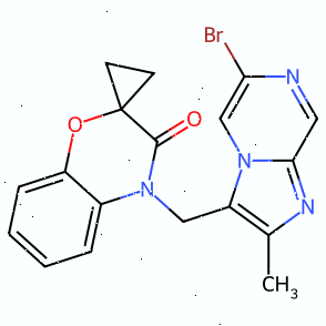 Cc1nc2cnc(Br)cn2c1CN1C(=O)C2(CC2)Oc2ccccc21